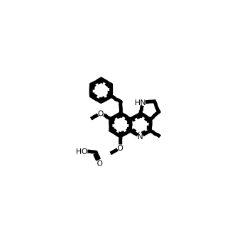 COc1cc(OC)c2nc(C)c3c(c2c1Cc1ccccc1)NCC3.O=CO